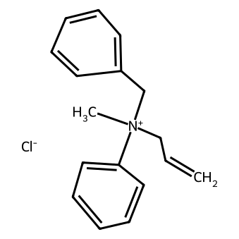 C=CC[N+](C)(Cc1ccccc1)c1ccccc1.[Cl-]